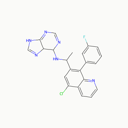 CC(NC1N=CN=C2NC=NC21)c1cc(Cl)c2cccnc2c1-c1cccc(F)c1